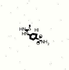 CSC(=N)Nc1ccc(S(N)(=O)=O)cc1.I